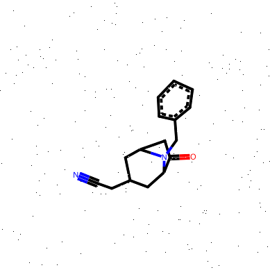 N#CCC1CC2CC(=O)C(C1)N2Cc1ccccc1